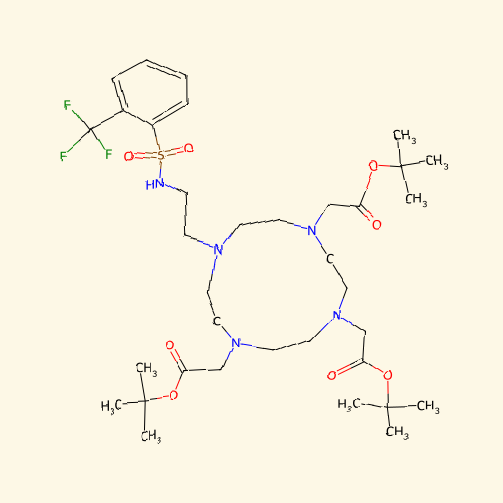 CC(C)(C)OC(=O)CN1CCN(CCNS(=O)(=O)c2ccccc2C(F)(F)F)CCN(CC(=O)OC(C)(C)C)CCN(CC(=O)OC(C)(C)C)CC1